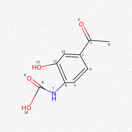 CC(=O)c1ccc(NC(=O)O)c(O)c1